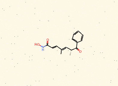 CC(/C=C/C(=O)NO)=C\[C@@H](C)C(=O)c1ccccc1